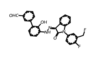 O=Cc1cccc(-c2cccc(N/N=C3\C(=O)N(c4ccc(F)c(CF)c4)c4ccccc43)c2O)c1